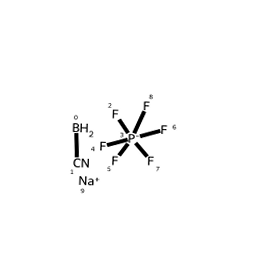 BC#N.F[P-](F)(F)(F)(F)F.[Na+]